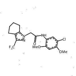 COc1cc(OC)c(NC(=O)Cn2nc(C(F)(F)F)c3c2CCCC3)cc1Cl